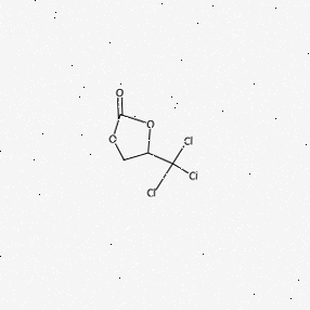 O=C1OCC(C(Cl)(Cl)Cl)O1